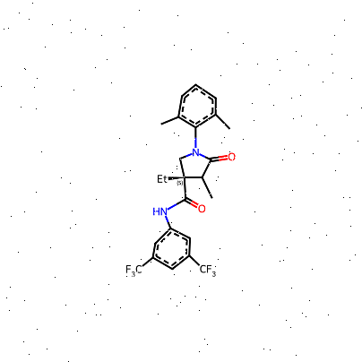 CC[C@@]1(C(=O)Nc2cc(C(F)(F)F)cc(C(F)(F)F)c2)CN(c2c(C)cccc2C)C(=O)C1C